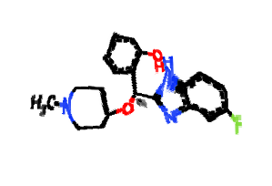 CN1CCC(O[C@H](c2nc3cc(F)ccc3[nH]2)c2ccccc2O)CC1